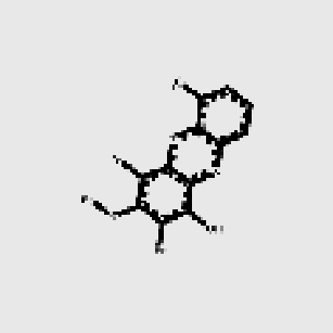 CCSc1c(Br)c(O)c2nc3cccc(C)c3nc2c1Br